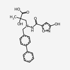 CC(O)(CN(Cc1ccc(-c2ccccc2)cc1)NC(=O)c1cc(O)no1)C(=O)O